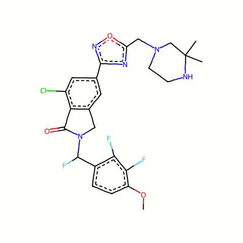 COc1ccc(C(F)N2Cc3cc(-c4noc(CN5CCNC(C)(C)C5)n4)cc(Cl)c3C2=O)c(F)c1F